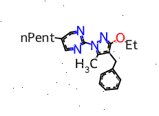 CCCCCc1cnc(-n2nc(OCC)c(Cc3ccccc3)c2C)nc1